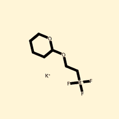 F[B-](F)(F)CCOC1CCCCO1.[K+]